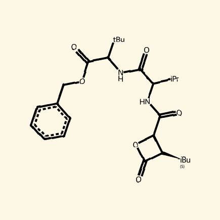 CC[C@H](C)C1C(=O)OC1C(=O)NC(C(=O)NC(C(=O)OCc1ccccc1)C(C)(C)C)C(C)C